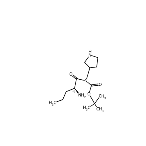 CCC[C@H](N)C(=O)N(C(=O)OC(C)(C)C)C1CCNC1